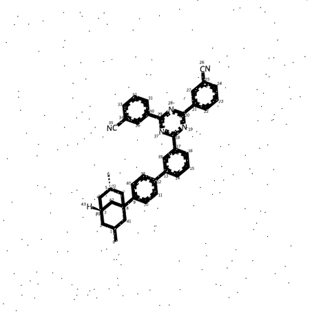 CC1C[C@@H]2C[C@H](C)CC(c3ccc(-c4cccc(-c5nc(-c6cccc(C#N)c6)nc(-c6cccc(C#N)c6)n5)c4)cc3)(C1)C2